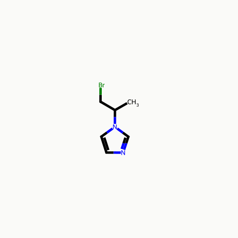 CC(CBr)n1ccnc1